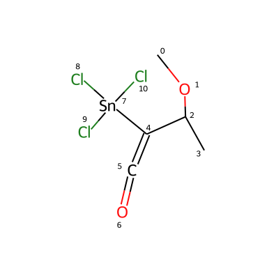 COC(C)[C](=C=O)[Sn]([Cl])([Cl])[Cl]